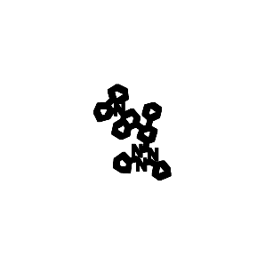 c1ccc(-c2nc(-c3ccccc3)nc(-c3ccc(-c4ccccc4)c(-c4ccc(-n5c6ccccc6c6ccccc65)c5ccccc45)c3)n2)cc1